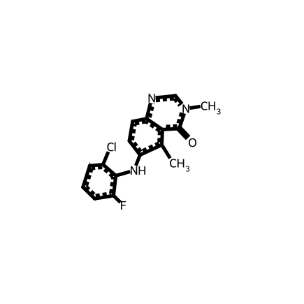 Cc1c(Nc2c(Cl)[c]ccc2F)ccc2ncn(C)c(=O)c12